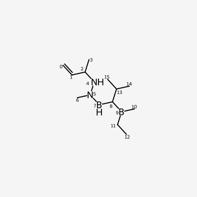 C=CC(C)NN(C)BC(B(C)CC)C(C)C